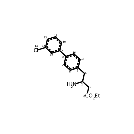 CCOC(=O)CC(N)Cc1ccc(-c2cccc(Cl)c2)cc1